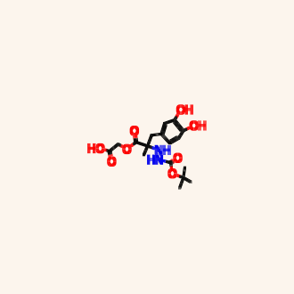 CC(C)(C)OC(=O)NNC(C)(Cc1ccc(O)c(O)c1)C(=O)OCC(=O)O